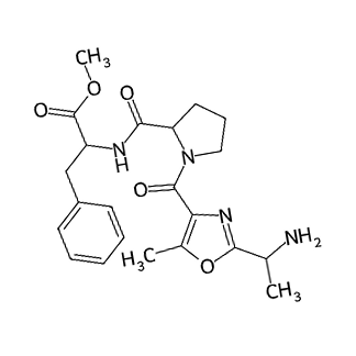 COC(=O)C(Cc1ccccc1)NC(=O)C1CCCN1C(=O)c1nc(C(C)N)oc1C